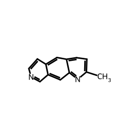 Cc1ccc2cc3ccncc3cc2n1